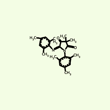 Cc1cc(C)c(N=C2C(=O)C(C)(C)C(=O)N2c2c(C)cc(C)cc2C)c(C)c1